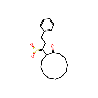 O=C1CCCCCCCCCCC1C(CCc1ccccc1)=S(=O)=O